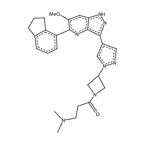 COc1cc2[nH]nc(-c3cnn(C4CN(C(=O)CCN(C)C)C4)c3)c2nc1-c1cccc2c1CCC2